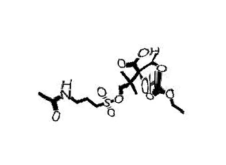 CCOC(=O)O[C@H](C)[C@@](O)(C(=O)O)C(C)(C)COS(=O)(=O)CCCNC(C)=O